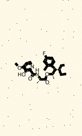 CCC(CC)[C@@H](c1ccc(F)cc1C)[C@H](C)OC(=O)[C@H](C)NC(=O)c1nccc(OC)c1O